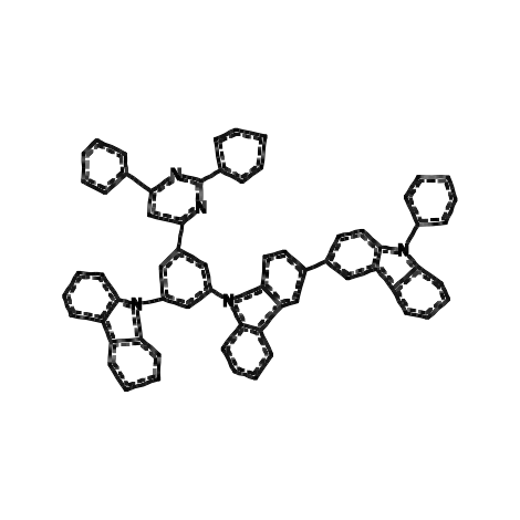 c1ccc(-c2cc(-c3cc(-n4c5ccccc5c5ccccc54)cc(-n4c5ccccc5c5cc(-c6ccc7c(c6)c6ccccc6n7-c6ccccc6)ccc54)c3)nc(-c3ccccc3)n2)cc1